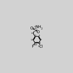 NS(=O)(=O)Cc1ccc(Cl)c(F)c1